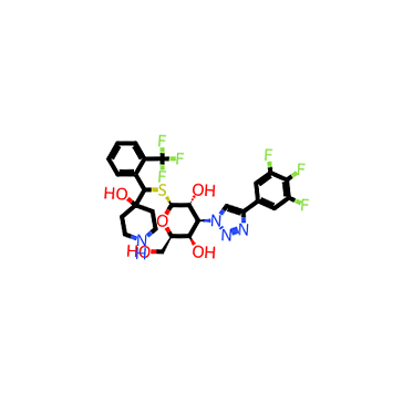 OC[C@H]1O[C@@H](SC(c2ccccc2C(F)(F)F)C2(O)CCNCC2)[C@H](O)[C@@H](n2cc(-c3cc(F)c(F)c(F)c3)nn2)[C@H]1O